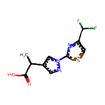 CC(C(=O)O)c1cnn(-c2nc(C(F)F)cs2)c1